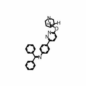 c1ccc(C(=Nc2ccc(-c3ccc(O[C@H]4CN5CCC4CC5)nn3)cc2)c2ccccc2)cc1